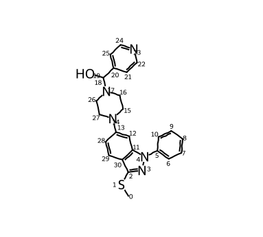 CSc1nn(-c2ccccc2)c2cc(N3CCN(C(O)c4ccncc4)CC3)ccc12